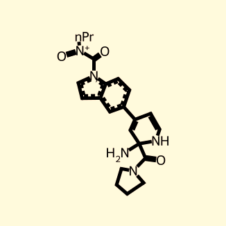 CCC[N+](=O)C(=O)n1ccc2cc(C3=CC(N)(C(=O)N4CCCC4)NC=C3)ccc21